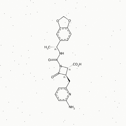 C[C@@H](NC(=O)N1C(=O)[C@H](Cc2cccc(N)n2)[C@H]1C(=O)O)c1ccc2c(c1)OCO2